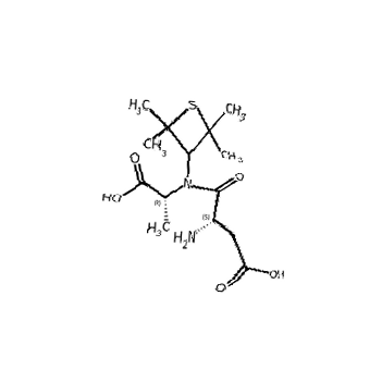 C[C@H](C(=O)O)N(C(=O)[C@@H](N)CC(=O)O)C1C(C)(C)SC1(C)C